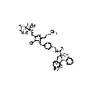 CCCCc1nc(CO[Si](C)(C)C(C)(C)C)c(Cl)n1Cc1ccc(CNC(=O)C(C)(Cc2ccccc2)[C@H](C(=O)OC)c2ccccc2)cc1